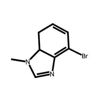 CN1C=NC2=C(Br)C=CCC21